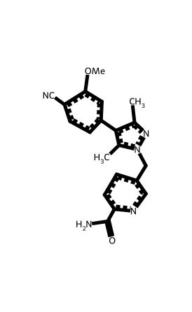 COc1cc(-c2c(C)nn(Cc3ccc(C(N)=O)nc3)c2C)ccc1C#N